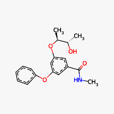 CNC(=O)c1cc(Oc2ccccc2)cc(O[C@@H](C)[C@H](C)O)c1